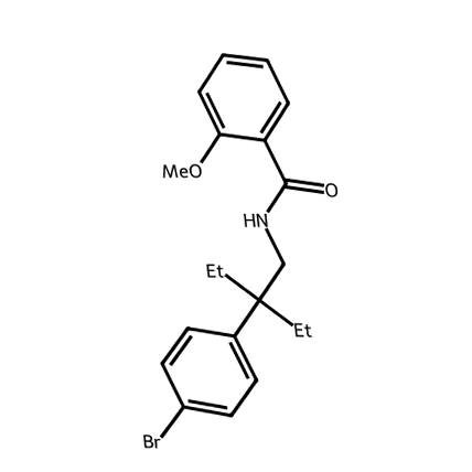 CCC(CC)(CNC(=O)c1ccccc1OC)c1ccc(Br)cc1